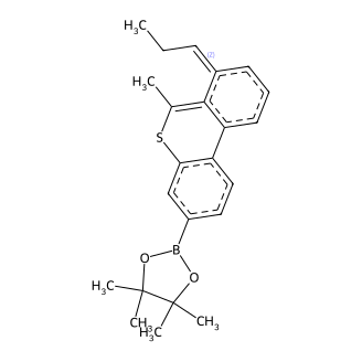 CC/C=c1/cccc2c1=C(C)Sc1cc(B3OC(C)(C)C(C)(C)O3)ccc1-2